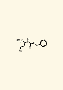 CC(=O)CCC(NC(=O)OCc1ccccc1)C(=O)O